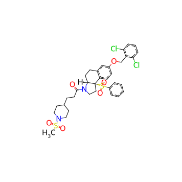 CS(=O)(=O)N1CCC(CCC(=O)N2CC[C@@]3(S(=O)(=O)c4ccccc4)c4ccc(OCc5c(Cl)cccc5Cl)cc4CC[C@@H]23)CC1